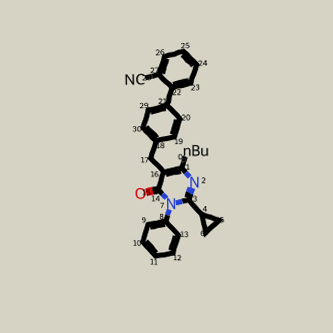 CCCCc1nc(C2CC2)n(-c2ccccc2)c(=O)c1Cc1ccc(-c2ccccc2C#N)cc1